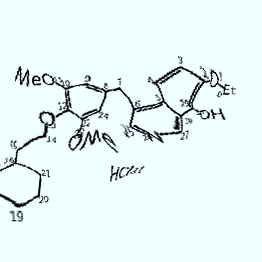 CCOc1ccc2c(Cc3cc(OC)c(OCCC4CCCCC4)c(OC)c3)cncc2c1O.Cl